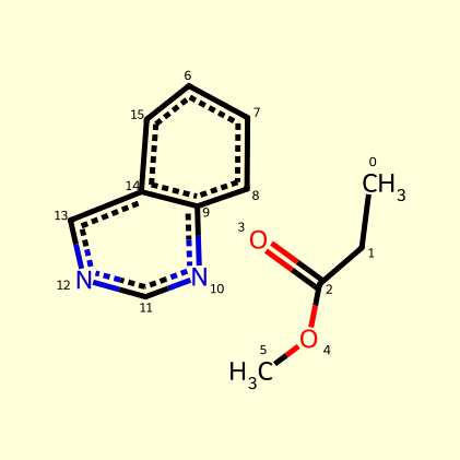 CCC(=O)OC.c1ccc2ncncc2c1